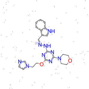 C(=N/Nc1nc(OCCn2ccnc2)nc(N2CCOCC2)n1)/c1c[nH]c2ccccc12